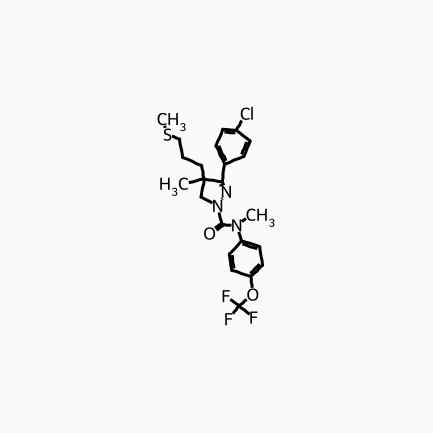 CSCCCC1(C)CN(C(=O)N(C)c2ccc(OC(F)(F)F)cc2)N=C1c1ccc(Cl)cc1